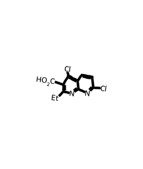 CCc1nc2nc(Cl)ccc2c(Cl)c1C(=O)O